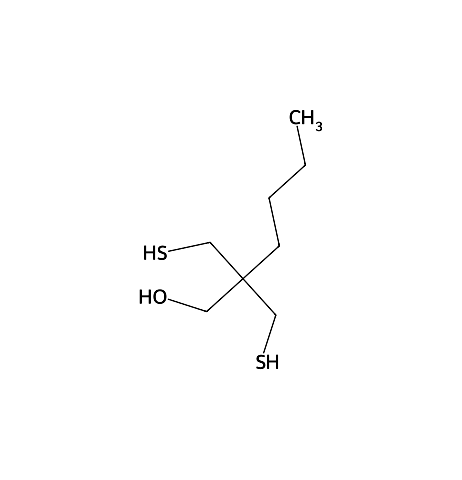 CCCCC(CO)(CS)CS